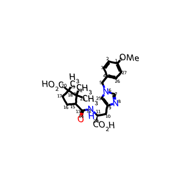 COc1ccc(Cn2cnc(C[C@H](NC(=O)C3CCC(C)(C(=O)O)C3(C)C)C(=O)O)c2)cc1